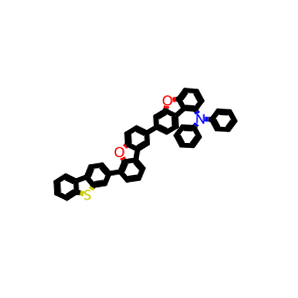 c1ccc(N(c2ccccc2)c2cccc3oc4cc(-c5ccc6oc7c(-c8ccc9c(c8)sc8ccccc89)cccc7c6c5)ccc4c23)cc1